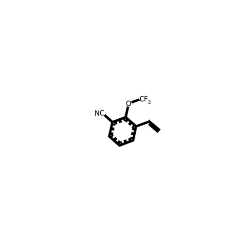 C=[C]c1cccc(C#N)c1OC(F)(F)F